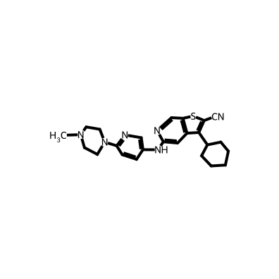 CN1CCN(c2ccc(Nc3cc4c(C5CCCCC5)c(C#N)sc4cn3)cn2)CC1